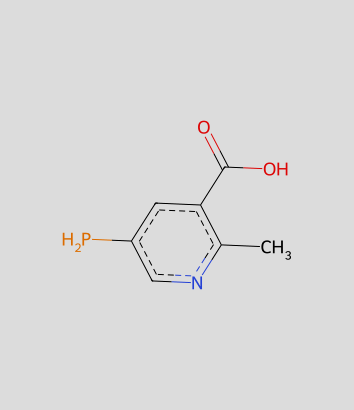 Cc1ncc(P)cc1C(=O)O